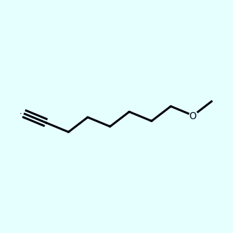 [C]#CCCCCCCOC